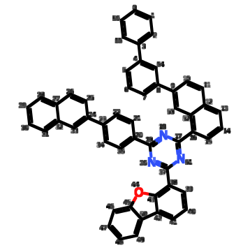 c1ccc(-c2cccc(-c3ccc4cccc(-c5nc(-c6ccc(-c7ccc8ccccc8c7)cc6)nc(-c6cccc7c6oc6ccccc67)n5)c4c3)c2)cc1